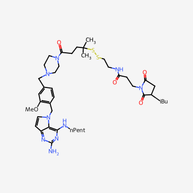 CCCCCNc1nc(N)nc2ccn(Cc3ccc(CN4CCN(C(=O)CCC(C)(C)SSCCNC(=O)CCN5C(=O)CC(C(C)CC)C5=O)CC4)cc3OC)c12